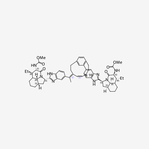 CC[C@@H]1C2CCC[C@H]3C[C@@H](c4nc5cc(/C(C)=C6/C=C\[C@H](C)CCc7ccc(cc7-c7ccc8[nH]c([C@@H]9C[C@@H]%10CCCC%11[C@@H](CC)[C@H](NC(=O)OC)C(=O)N9[C@@H]%11%10)nc8c7)CC6)ccc5[nH]4)N(C(=O)[C@H]1NC(=O)OC)[C@@H]23